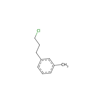 Cc1cccc(CCCCl)c1